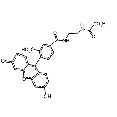 O=C(O)C(=O)NCCNC(=O)c1ccc(-c2c3ccc(=O)cc-3oc3cc(O)ccc23)c(C(=O)O)c1